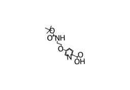 CC(C)(C)OC(=O)NCCOc1ccc(C(=O)O)nc1